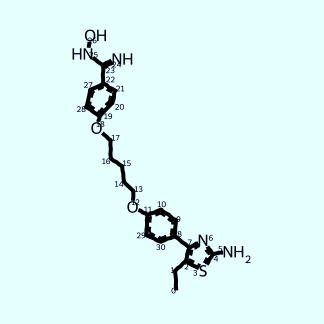 CCc1sc(N)nc1-c1ccc(OCCCCCOc2ccc(C(=N)NO)cc2)cc1